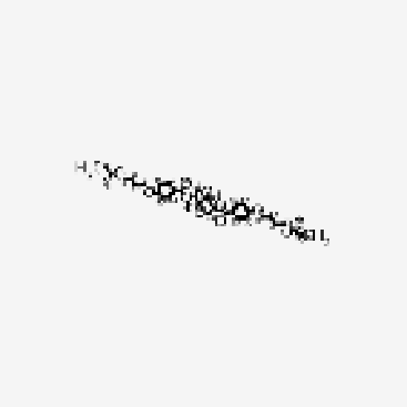 C=CC(=O)OCCCCOc1ccc(C(=O)O[C@@H]2CO[C@H]3[C@@H]2OC[C@H]3OC(=O)c2ccc(OCCCCOC(=O)C=C)cc2)cc1